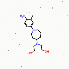 Cc1cc(N2CCCC(N(CCO)CCO)CC2)ccc1N